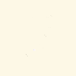 CN(C)/C=C/C(=O)CN(C)C(=O)c1ccccc1C=O